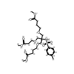 COC(=O)CCCOCC(COCCCC(=O)OC)(COCCC(=O)OC)NS(=O)(=O)c1ccc(C)cc1